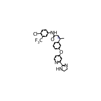 C/C(=C/C(=O)Nc1ccc(Cl)c(C(F)(F)F)c1)c1cccc(Oc2ccnc(C3=NCCN3)c2)c1